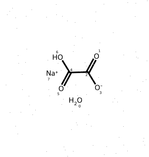 O.O=C([O-])C(=O)O.[Na+]